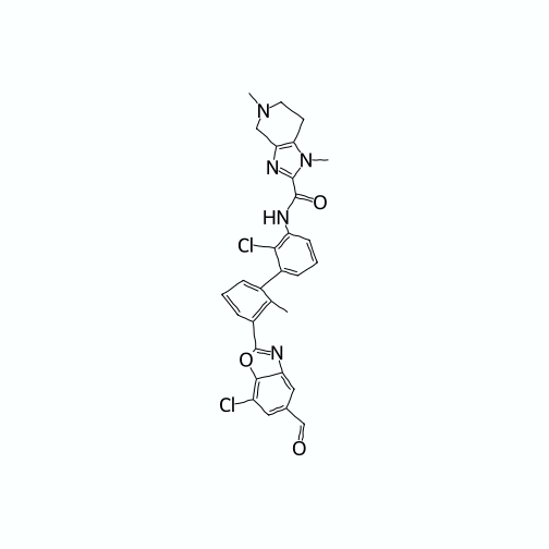 Cc1c(-c2nc3cc(C=O)cc(Cl)c3o2)cccc1-c1cccc(NC(=O)c2nc3c(n2C)CCN(C)C3)c1Cl